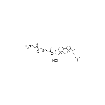 CC(C)CCCC(C)C1CCC2C3CC=C4CC(OC(=O)CSSCC(=O)NCCN)CCC4(C)C3CCC12C.Cl